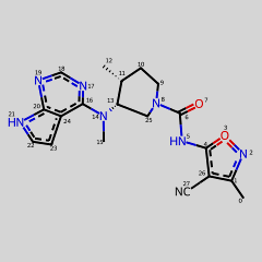 Cc1noc(NC(=O)N2CC[C@@H](C)[C@@H](N(C)c3ncnc4[nH]ccc34)C2)c1C#N